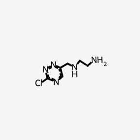 NCCNCc1cnc(Cl)nn1